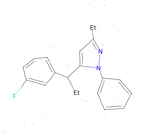 [CH2]CC(c1cccc(F)c1)c1cc(CC)nn1-c1ccccc1